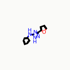 c1ccc(Nc2nc(-c3ccco3)n[nH]2)cc1